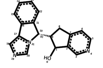 OC1c2cnccc2CC1[C@H]1c2ccccc2-c2cncn21